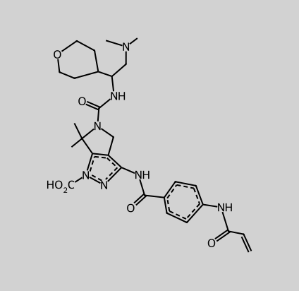 C=CC(=O)Nc1ccc(C(=O)Nc2nn(C(=O)O)c3c2CN(C(=O)NC(CN(C)C)C2CCOCC2)C3(C)C)cc1